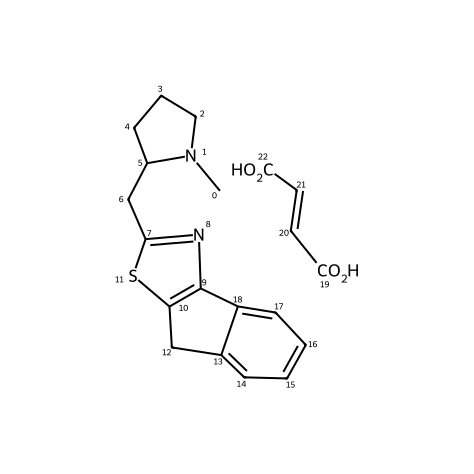 CN1CCCC1Cc1nc2c(s1)Cc1ccccc1-2.O=C(O)C=CC(=O)O